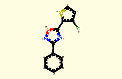 Clc1ccsc1-c1nc(-c2ccccc2)no1